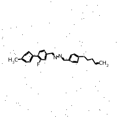 C=CCCCc1ccc(C=NN=Cc2ccc(-c3ccc(C)cc3)c(F)c2)cc1